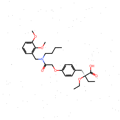 CCCCN(Cc1cccc(OC)c1OC)C(=O)COc1ccc(C[C@](CC)(OCC)C(=O)O)cc1